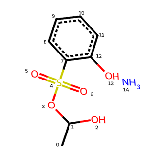 CC(O)OS(=O)(=O)c1ccccc1O.N